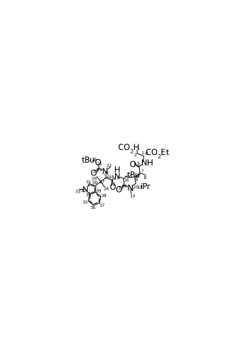 CCOC(=O)[C@@H](CC(=O)O)NC(=O)/C(C)=C/[C@H](C(C)C)N(C)C(=O)[C@@H](NC(=O)[C@@H](N(C)C(=O)OC(C)(C)C)C(C)(C)c1cn(C)c2ccccc12)C(C)(C)C